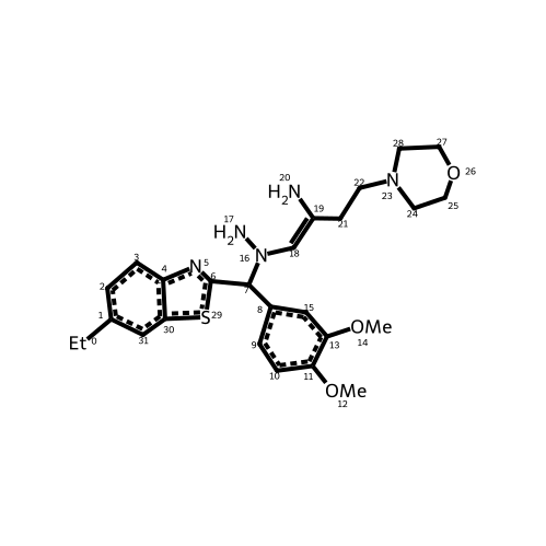 CCc1ccc2nc(C(c3ccc(OC)c(OC)c3)N(N)/C=C(\N)CCN3CCOCC3)sc2c1